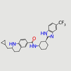 O=C(N[C@@H]1CCC[C@H](c2nc3cc(C(F)(F)F)ccc3[nH]2)C1)c1ccc2c(c1)CCC(CC1CC1)N2